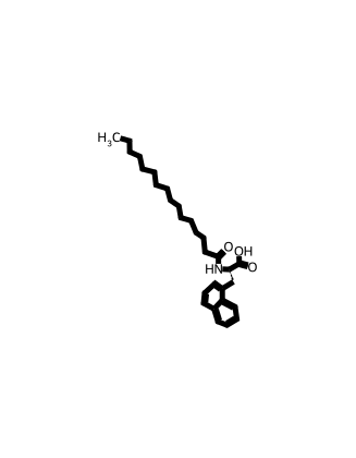 CCCCCCCCCCCCCCCC(=O)N[C@@H](Cc1cccc2ccccc12)C(=O)O